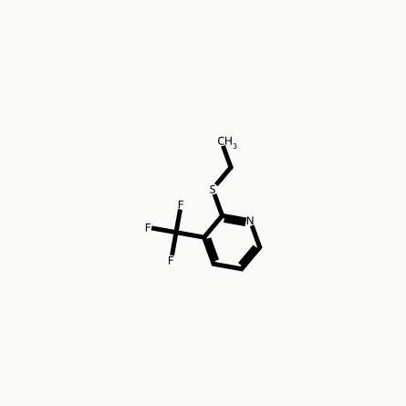 CCSc1ncccc1C(F)(F)F